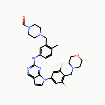 Cc1ccc(Nc2ncc3ccn(-c4cc(F)c(CN5CCOCC5)c(F)c4)c3n2)cc1CN1CCN(C=O)CC1